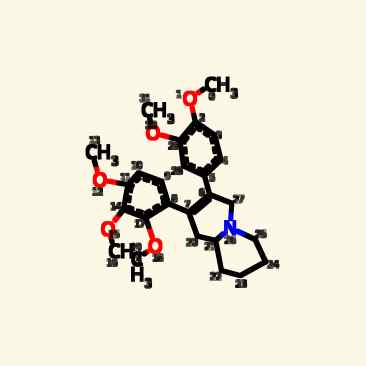 COc1ccc(C2=C(c3ccc(OC)c(OC)c3OC)CC3CCCCN3C2)cc1OC